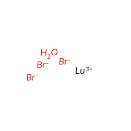 O.[Br-].[Br-].[Br-].[Lu+3]